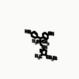 CCOC(=O)C1CC(NCC(C)(C)C(C2=CCC(O)CC2)C2C=CC(O)CC2)=NC1C